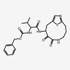 CC(C)C(NC(=O)OCc1ccccc1)C(=O)NC1Cc2cnc(s2)CCCNC(=O)C1=O